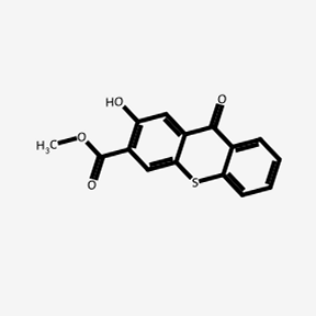 COC(=O)c1cc2sc3ccccc3c(=O)c2cc1O